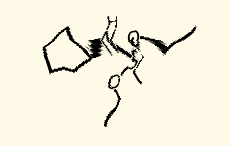 CCO[Si](C)(NC1CCCC1)OCC